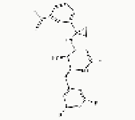 C=C(C)c1cccc(C2(NC[C@H](O)[C@H](Cc3cc(F)cc(F)c3)NC(C)=O)CC2)c1